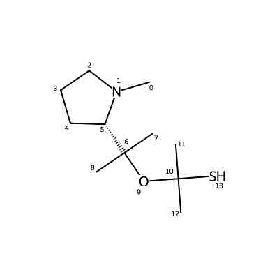 CN1CCC[C@H]1C(C)(C)OC(C)(C)S